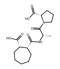 C[C@H](NC(=O)[C@@H]1CCCCC[C@@H]1C(=O)O)C(=O)N1CCC[C@H]1C(=O)O